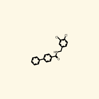 O=C(NCc1ccc(Cl)c(Cl)c1)c1ccc(-c2ccccc2)cc1